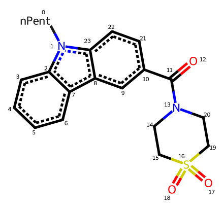 CCCCCn1c2ccccc2c2cc(C(=O)N3CCS(=O)(=O)CC3)ccc21